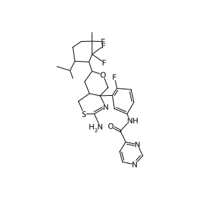 CC(C)C1CCC(C)(F)C(F)(F)C1C1CC2CSC(N)=NC2(c2cc(NC(=O)c3ccncn3)ccc2F)CO1